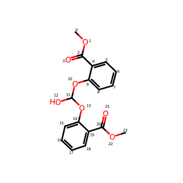 COC(=O)c1ccccc1OC(O)Oc1ccccc1C(=O)OC